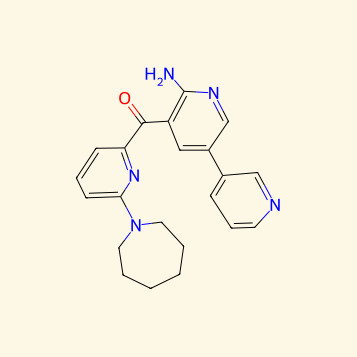 Nc1ncc(-c2cccnc2)cc1C(=O)c1cccc(N2CCCCCC2)n1